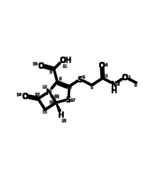 CONC(=O)CSC1=C(C(=O)O)N2C(=O)C[C@H]2S1